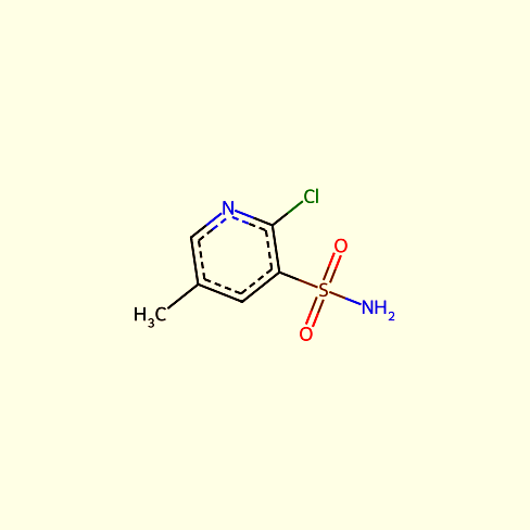 Cc1cnc(Cl)c(S(N)(=O)=O)c1